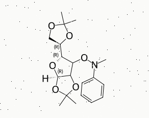 CN(OC1C2OC(C)(C)O[C@H]2O[C@@H]1[C@H]1COC(C)(C)O1)c1ccccc1